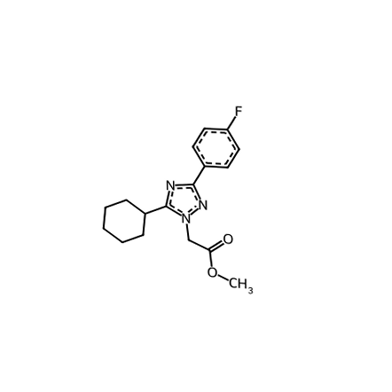 COC(=O)Cn1nc(-c2ccc(F)cc2)nc1C1CCCCC1